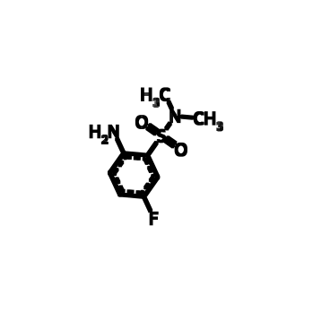 CN(C)S(=O)(=O)c1cc(F)ccc1N